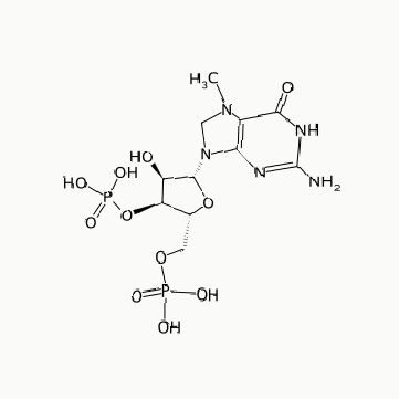 CN1CN([C@@H]2O[C@H](COP(=O)(O)O)[C@@H](OP(=O)(O)O)[C@H]2O)c2nc(N)[nH]c(=O)c21